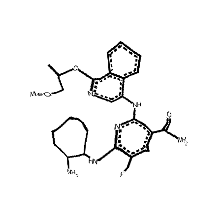 COCC(C)Oc1ncc(Nc2nc(NC3CCCCC3N)c(F)cc2C(N)=O)c2ccccc12